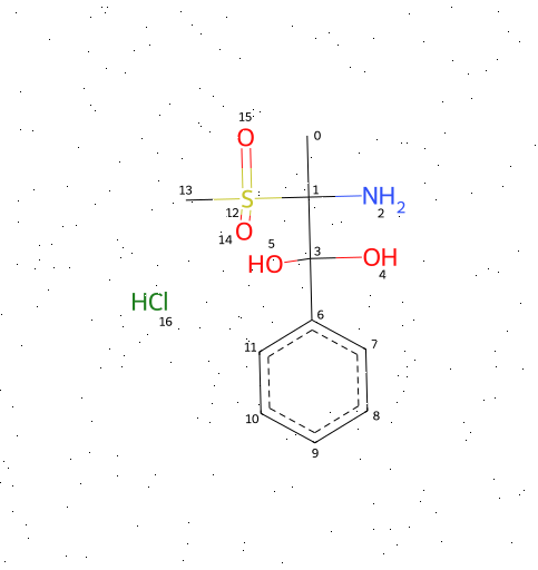 CC(N)(C(O)(O)c1ccccc1)S(C)(=O)=O.Cl